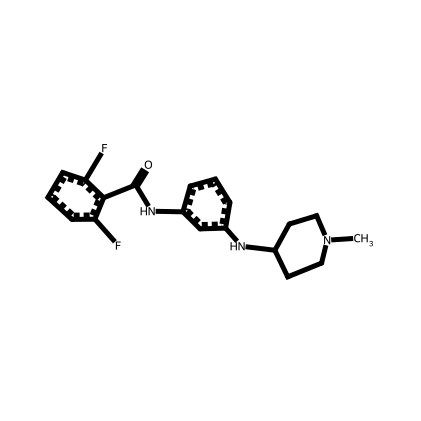 CN1CCC(Nc2cccc(NC(=O)c3c(F)cccc3F)c2)CC1